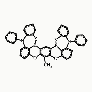 Cc1c2c(cc3c1Oc1cccc4c1B3Sc1ccccc1N4c1ccccc1)B1Sc3ccccc3N(c3ccccc3)c3cccc(c31)O2